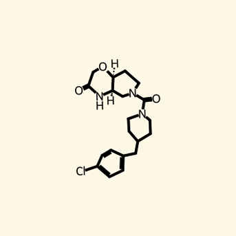 O=C1CO[C@H]2CCN(C(=O)N3CCC(Cc4ccc(Cl)cc4)CC3)C[C@H]2N1